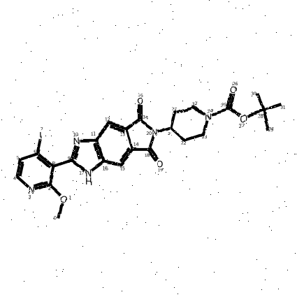 COc1nccc(I)c1-c1nc2cc3c(cc2[nH]1)C(=O)N(C1CCN(C(=O)OC(C)(C)C)CC1)C3=O